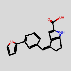 O=C(O)c1cc2c([nH]1)CCC2=Cc1cccc(-c2ccco2)c1